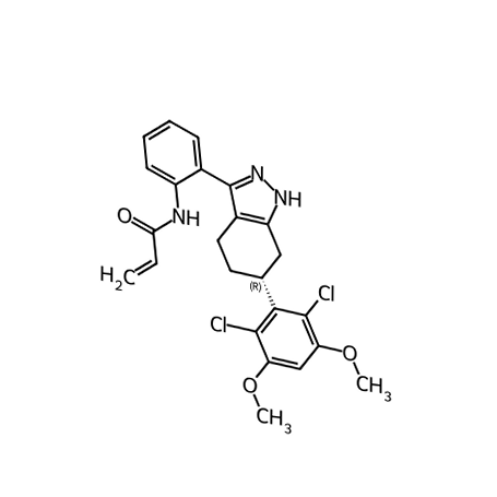 C=CC(=O)Nc1ccccc1-c1n[nH]c2c1CC[C@@H](c1c(Cl)c(OC)cc(OC)c1Cl)C2